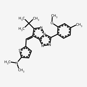 COc1cc(C)ccc1-c1nnc2/c(=C\c3ccc(N(C)C)s3)c(C(C)(C)C)nn12